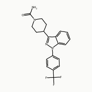 NC(=O)N1CCC(c2nn(-c3ccc(C(F)(F)F)cc3)c3ccccc23)CC1